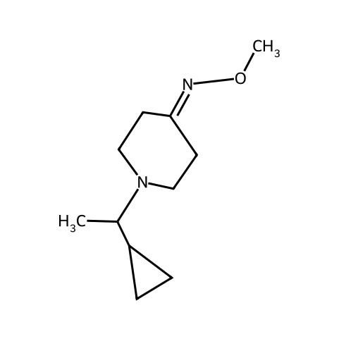 CON=C1CCN(C(C)C2CC2)CC1